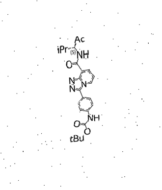 CC(=O)[C@@H](NC(=O)c1cccn2c(-c3ccc(NC(=O)OC(C)(C)C)cc3)nnc12)C(C)C